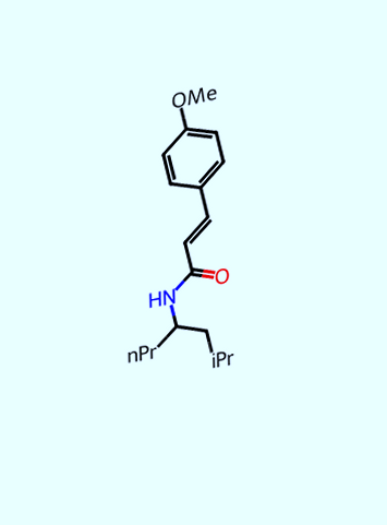 CCCC(CC(C)C)NC(=O)C=Cc1ccc(OC)cc1